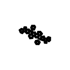 CC1(C)c2ccccc2-c2ccc(N(C3=Cc4c(cc(N(c5ccccc5)c5ccc6c(c5)C(C)(C)c5ccccc5-6)c5ccccc45)C4C=CC=CC34)c3ccccc3)cc21